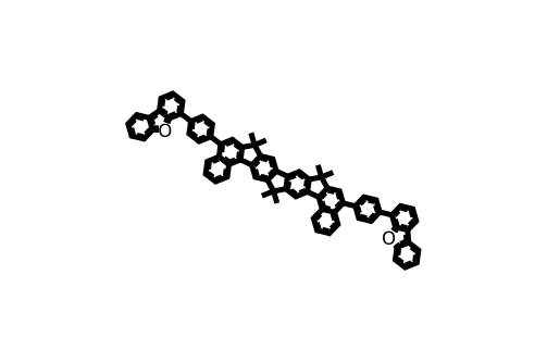 CC1(C)c2cc3c(cc2-c2cc4c(cc21)-c1c(cc(-c2ccc(-c5cccc6c5oc5ccccc56)cc2)c2ccccc12)C4(C)C)C(C)(C)c1cc(-c2ccc(-c4cccc5c4oc4ccccc45)cc2)c2ccccc2c1-3